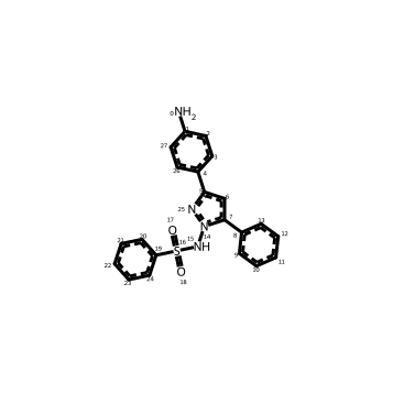 Nc1ccc(-c2cc(-c3ccccc3)n(NS(=O)(=O)c3ccccc3)n2)cc1